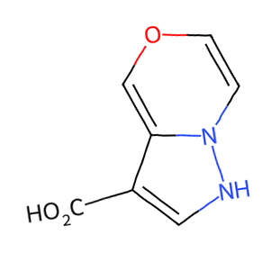 O=C(O)C1=CNN2C=COC=C12